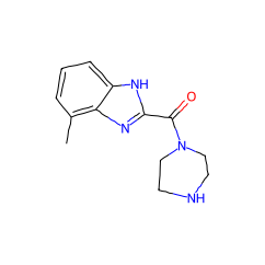 Cc1cccc2[nH]c(C(=O)N3CCNCC3)nc12